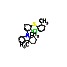 Cc1ccccc1Sc1cccc(N2c3ccccc3C3(C)CCCCC23C)c1Cl